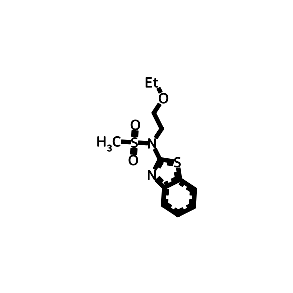 CCOCCN(c1nc2ccccc2s1)S(C)(=O)=O